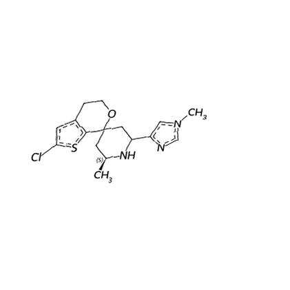 C[C@H]1CC2(CC(c3cn(C)cn3)N1)OCCc1cc(Cl)sc12